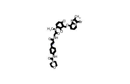 Cc1nc2c(OCc3c(Cl)ccc(N(C)C(=O)CNC(=O)/C=C/c4ccc(NC(=O)N5CCOCC5)cc4)c3Cl)cccn2c1Br